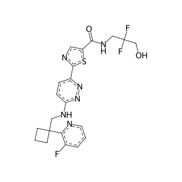 O=C(NCC(F)(F)CO)c1cnc(-c2ccc(NCC3(c4ncccc4F)CCC3)nn2)s1